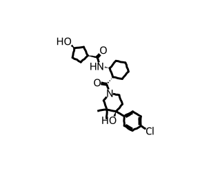 CC1(C)CN(C(=O)[C@H]2CCCC[C@H]2NC(=O)[C@H]2CC[C@@H](O)C2)CC[C@]1(O)c1ccc(Cl)cc1